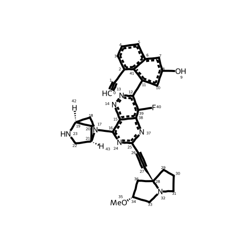 C#Cc1cccc2cc(O)cc(-c3nnc4c(N5C[C@H]6C[C@@H]5CN6)nc(C#C[C@@]56CCCN5C[C@H](OC)C6)nc4c3F)c12